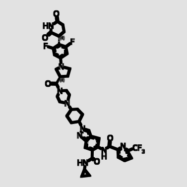 O=C1CC[C@H](c2c(F)cc(N3CC[C@@H](C(=O)N4CCN(C5CCC(n6cc7cc(NC(=O)c8cccc(C(F)(F)F)n8)c(C(=O)NC8CC8)cc7n6)CC5)CC4)C3)cc2F)C(=O)N1